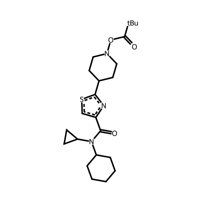 CC(C)(C)C(=O)ON1CCC(c2nc(C(=O)N(C3CCCCC3)C3CC3)cs2)CC1